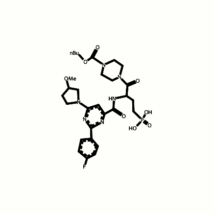 CCCCOC(=O)N1CCN(C(=O)C(CCP(=O)(O)O)NC(=O)c2cc(N3CCC(OC)C3)nc(-c3ccc(F)cc3)n2)CC1